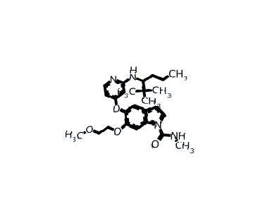 CCCC(Nc1cc(Oc2cc3ccn(C(=O)NC)c3cc2OCCOC)ccn1)C(C)(C)C